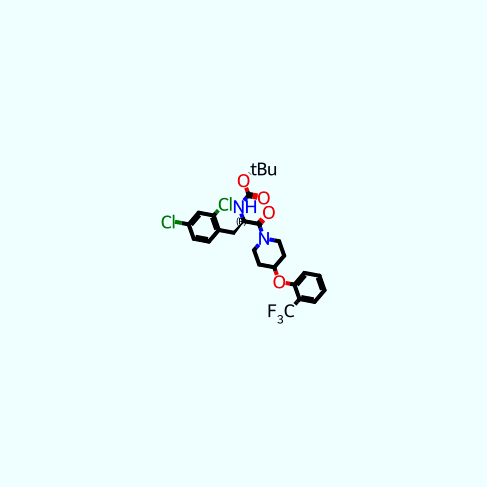 CC(C)(C)OC(=O)N[C@H](Cc1ccc(Cl)cc1Cl)C(=O)N1CCC(Oc2ccccc2C(F)(F)F)CC1